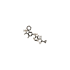 Cc1cc(Nc2ncnc(NC(=O)C3CC3)c2C)cc2c1C(C)NC21CCCCC1